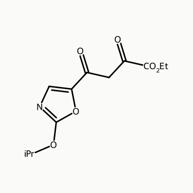 CCOC(=O)C(=O)CC(=O)c1cnc(OC(C)C)o1